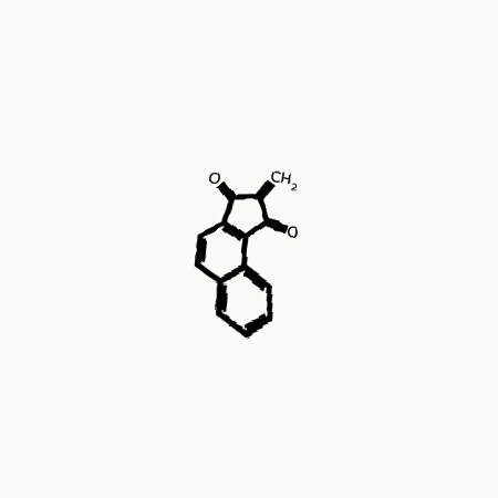 C=C1C(=O)c2ccc3ccccc3c2C1=O